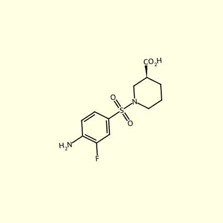 Nc1ccc(S(=O)(=O)N2CCC[C@H](C(=O)O)C2)cc1F